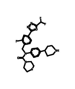 O=C(N1CCSCC1)N(Cc1ccc(-c2nnc(C(F)F)o2)cc1F)c1ccc(C2CCNCC2)cc1